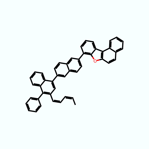 C/C=C\C=C/c1cc(-c2ccc3cc(-c4cccc5c4oc4ccc6ccccc6c45)ccc3c2)c2ccccc2c1-c1ccccc1